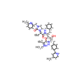 Cc1ccnc(-c2ccc(C[C@H](NC(=O)[C@@H](NC(=O)O)C(C)(C)C)[C@@H](O)C[C@H](Cc3ccccc3)NC(=O)[C@@H](N3CCN(Cc4cccc(C)n4)C3=O)C(C)(C)C)cc2)c1